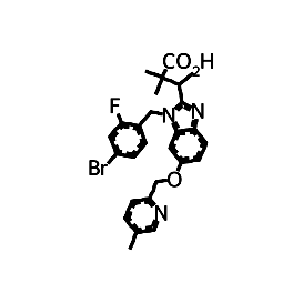 Cc1ccc(COc2ccc3nc(C(C)C(C)(C)C(=O)O)n(Cc4ccc(Br)cc4F)c3c2)nc1